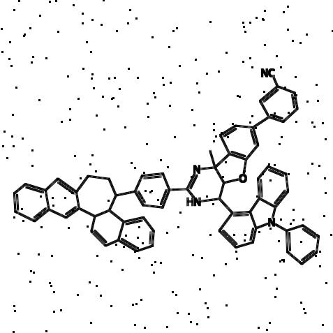 CC12N=C(c3ccc(C4CCc5cc6ccccc6cc5C5C=Cc6ccccc6C54)cc3)NC(c3cccc4c3c3ccccc3n4-c3ccccc3)C1Oc1cc(-c3cccc(C#N)c3)ccc12